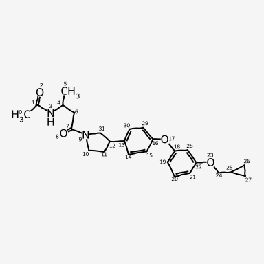 CC(=O)NC(C)CC(=O)N1CCC(c2ccc(Oc3cccc(OCC4CC4)c3)cc2)C1